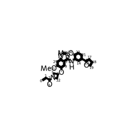 C=CC(=O)N1CC(Oc2cc3c(Nc4cc(-c5ccco5)ccc4OC)ncnc3cc2OC)C1